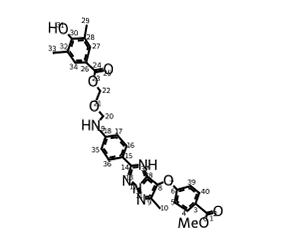 COC(=O)c1ccc(Oc2c(C)nn3nc(-c4ccc(NCOCOC(=O)c5cc(C)c(O)c(C)c5)cc4)[nH]c23)cc1